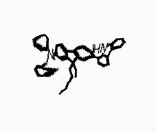 CCCCCCC1(CC)c2cc(-c3cccc4c3[nH]c3ccccc34)ccc2-c2ccc(N(c3ccccc3)c3ccccc3)cc21